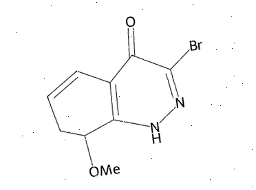 COC1CC=Cc2c1[nH]nc(Br)c2=O